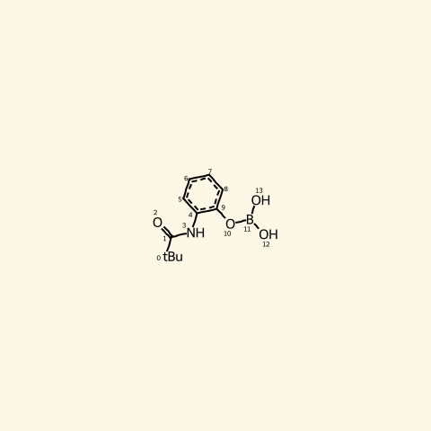 CC(C)(C)C(=O)Nc1ccccc1OB(O)O